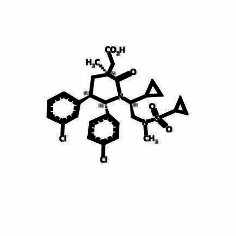 CN(C[C@H](C1CC1)N1C(=O)[C@](C)(CC(=O)O)C[C@H](c2cccc(Cl)c2)[C@H]1c1ccc(Cl)cc1)S(=O)(=O)C1CC1